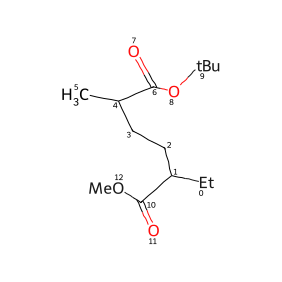 CCC(CCC(C)C(=O)OC(C)(C)C)C(=O)OC